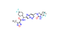 Cc1nonc1C(=O)NC(c1cn2ncc(CN3CC(C)(C(F)(F)F)NC3=O)cc2n1)C1CCC(F)(F)CC1